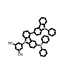 N#Cc1cc(C#N)cc(-n2c3ccc(N(c4ccccc4)c4ccccc4)cc3c3c(-c4ccc5c(c4)c4ccccc4n5-c4ccccc4)cccc32)c1